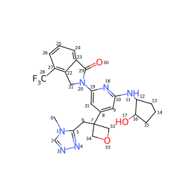 Cn1cnnc1CC1(c2cc(NC3CCCC3O)nc(N3Cc4c(cccc4C(F)(F)F)C3=O)c2)COC1